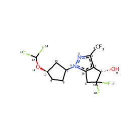 O[C@H]1c2c(C(F)(F)F)nn(C3CC[C@@H](OC(F)F)C3)c2CC1(F)F